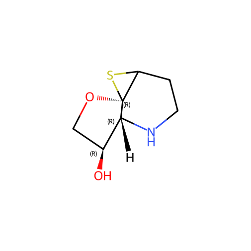 O[C@H]1CO[C@]23SC2CCN[C@H]13